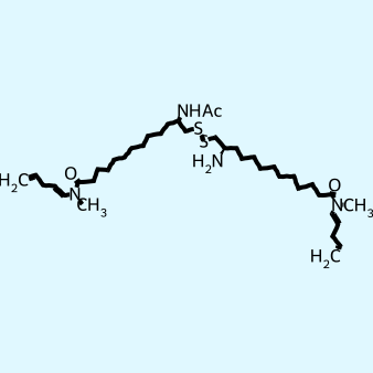 C=CC/C=C/N(C)C(=O)CCCCCCCCCCC(CSSC[C@H](N)CCCCCCCCCCC(=O)N(C)/C=C/CC=C)NC(C)=O